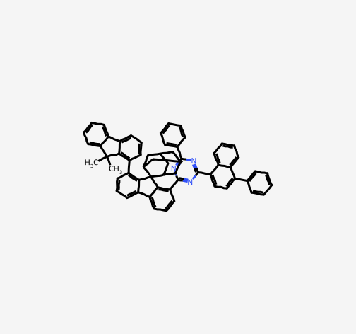 CC1(C)c2ccccc2-c2cccc(-c3cccc4c3C3(c5c(-c6nc(-c7ccccc7)nc(-c7ccc(-c8ccccc8)c8ccccc78)n6)cccc5-4)C4CC5CC(C4)CC3C5)c21